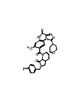 Cc1cc2[nH]c(=O)c3nnc(C4CCOCC4)n3c2cc1C(=O)N1CCCC2CN(Cc3ccc(F)cc3)C(=O)C21